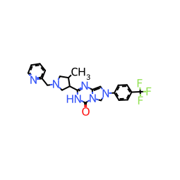 CC1CN(Cc2ccccn2)CC1C1=NC2=CN(c3ccc(C(F)(F)F)cc3)CN2C(=O)N1